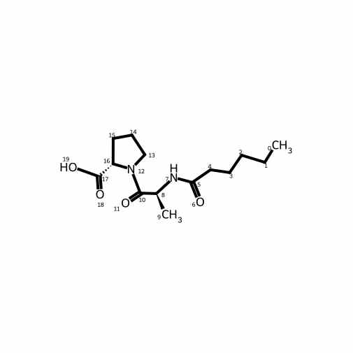 CCCCCC(=O)N[C@@H](C)C(=O)N1CCC[C@H]1C(=O)O